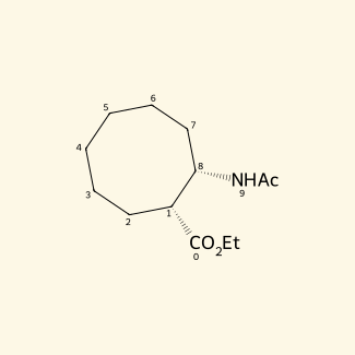 CCOC(=O)[C@@H]1CCCCCC[C@@H]1NC(C)=O